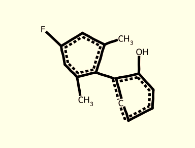 Cc1cc(F)cc(C)c1-c1ccccc1O